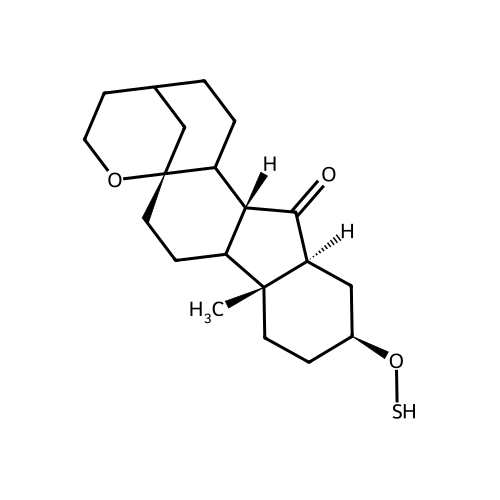 C[C@]12CC[C@H](OS)C[C@@H]1C(=O)[C@H]1C3CCC4CCO[C@]3(CCC12)C4